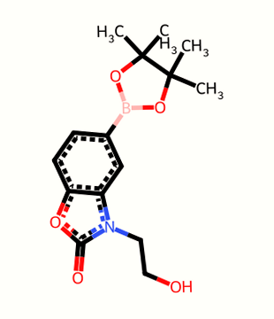 CC1(C)OB(c2ccc3oc(=O)n(CCO)c3c2)OC1(C)C